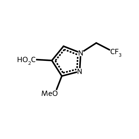 COc1nn(CC(F)(F)F)cc1C(=O)O